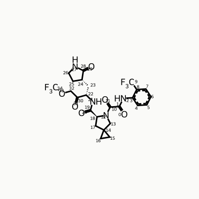 O=C(Nc1ccccc1C(F)(F)F)C(=O)N1CC2(CC2)C[C@H]1C(=O)N[C@@H](C[C@@H]1CCNC1=O)C(=O)COC(F)(F)F